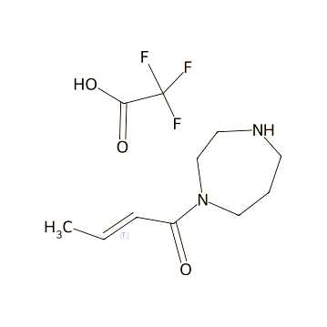 C/C=C/C(=O)N1CCCNCC1.O=C(O)C(F)(F)F